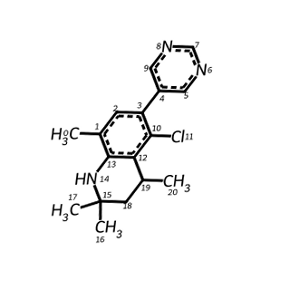 Cc1cc(-c2cncnc2)c(Cl)c2c1NC(C)(C)CC2C